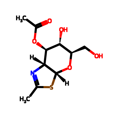 CC(=O)O[C@H]1[C@H](O)[C@@H](CO)O[C@@H]2SC(C)=N[C@H]12